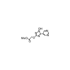 COC(=O)COc1nc(-c2cncnc2)n(O)n1